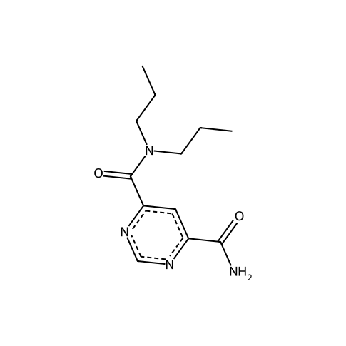 CCCN(CCC)C(=O)c1cc(C(N)=O)ncn1